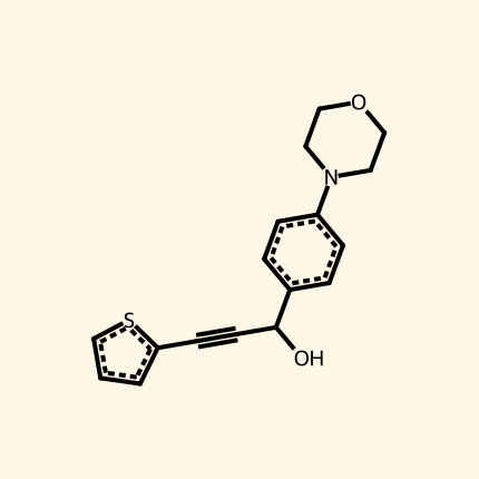 OC(C#Cc1cccs1)c1ccc(N2CCOCC2)cc1